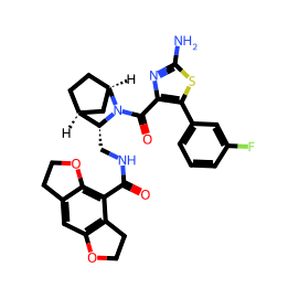 Nc1nc(C(=O)N2[C@@H]3CC[C@@H](C3)[C@H]2CNC(=O)c2c3c(cc4c2OCC4)OCC3)c(-c2cccc(F)c2)s1